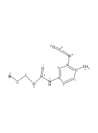 Cc1ccc(NC(=O)OCCBr)cc1N=C=O